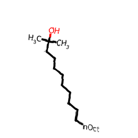 CCCCCCCCCCCCCCCC[CH]C(C)(C)O